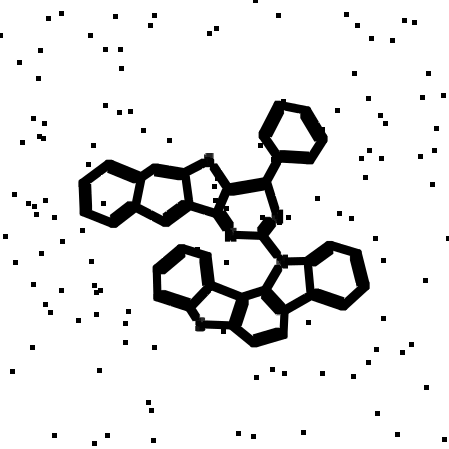 c1ccc(-c2nc(-n3c4ccccc4c4ccc5sc6ccccc6c5c43)nc3c2sc2cc4ccccc4cc23)cc1